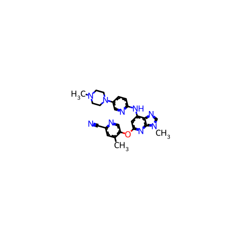 Cc1cc(C#N)ncc1Oc1cc(Nc2ccc(N3CCN(C)CC3)cn2)c2ncn(C)c2n1